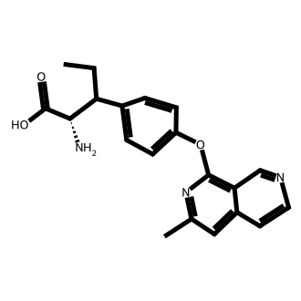 CCC(c1ccc(Oc2nc(C)cc3ccncc23)cc1)[C@H](N)C(=O)O